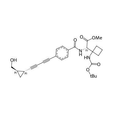 COC(=O)[C@@H](NC(=O)c1ccc(C#CC#C[C@@H]2C[C@H]2CO)cc1)C1(NC(=O)OC(C)(C)C)CCC1